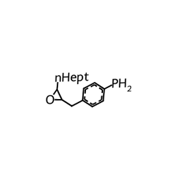 CCCCCCCC1OC1Cc1ccc(P)cc1